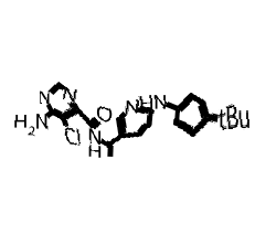 CC(NC(=O)c1ncnc(N)c1Cl)c1ccc(Nc2ccc(C(C)(C)C)cc2)nc1